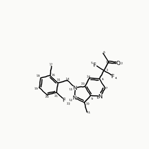 CC(=O)C(F)(F)c1cnc2c(C)nn(Cc3c(C)cccc3F)c2c1